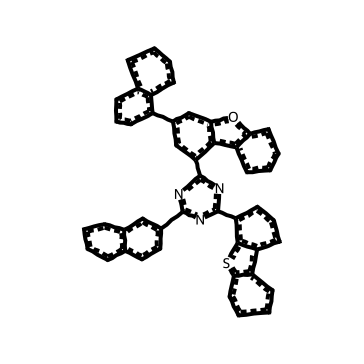 c1ccc2cc(-c3nc(-c4cccc5c4sc4ccccc45)nc(-c4cc(-c5cccc6ccccc56)cc5oc6ccccc6c45)n3)ccc2c1